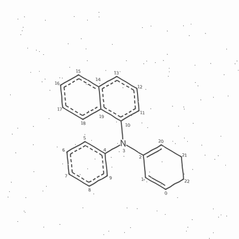 C1=CC(N(c2ccccc2)c2cccc3ccccc23)=CCC1